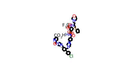 C[C@@]1(CN2CCN(C(=O)c3ccc(C(=O)O)cn3)CC2)CCC(c2ccc(Cl)cc2)=C(CN2CCN(c3ccc(C(=O)NS(=O)(=O)c4ccc(NC(CCN5CCCOCC5)CSc5ccccc5)c(S(=O)(=O)C(F)(F)F)c4)cc3)CC2)C1